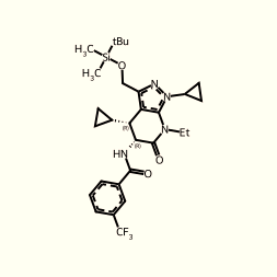 CCN1C(=O)[C@H](NC(=O)c2cccc(C(F)(F)F)c2)[C@H](C2CC2)c2c(CO[Si](C)(C)C(C)(C)C)nn(C3CC3)c21